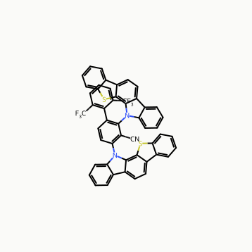 N#Cc1c(-n2c3ccccc3c3ccc4c5ccccc5sc4c32)ccc(-c2c(C(F)(F)F)cccc2C(F)(F)F)c1-n1c2ccccc2c2ccc3c4ccccc4sc3c21